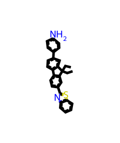 CCC1(CC)c2cc(-c3ccc(N)cc3)ccc2-c2ccc(-c3nc4ccccc4s3)cc21